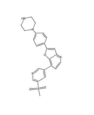 CS(=O)(=O)c1cncc(-c2ccnc3cc(-c4ccc(N5CCNCC5)cc4)oc23)c1